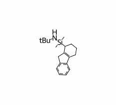 CC(C)(C)N[Si](C)(C)C1CCCC2=C1Cc1ccccc12